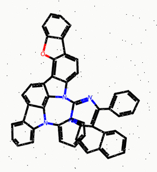 c1ccc(-c2nc(-n3c4ccc5c6ccccc6oc5c4c4ccc5c6ccccc6n(-c6ccccc6)c5c43)nc3ccc4ccccc4c23)cc1